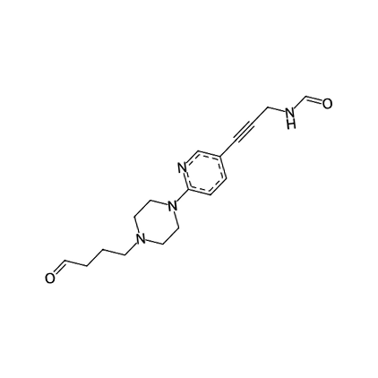 O=CCCCN1CCN(c2ccc(C#CCNC=O)cn2)CC1